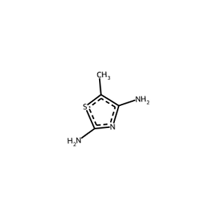 Cc1sc(N)nc1N